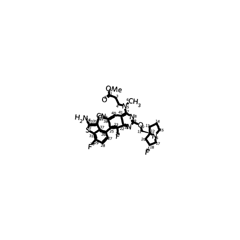 COC(=O)CCN(C)c1nc(OC[C@@]23CCCN2C[C@H](F)C3)nc2c(F)c(-c3ccc(F)c4sc(N)c(C#N)c34)c(Cl)cc12